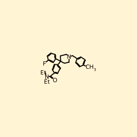 CCN(CC)C(=O)c1ccc(C2(c3cccc(F)c3)CCN(Cc3ccc(C)cc3)CC2)cc1